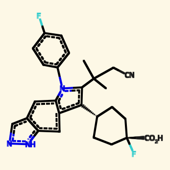 CC(C)(CC#N)c1c([C@H]2CC[C@](F)(C(=O)O)CC2)c2cc3[nH]ncc3cc2n1-c1ccc(F)cc1